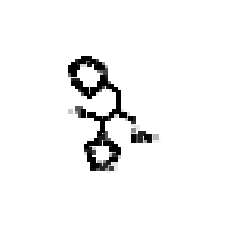 CCCCCCCCCCCC(Cc1ccccc1)C(CCCC)n1ccnc1